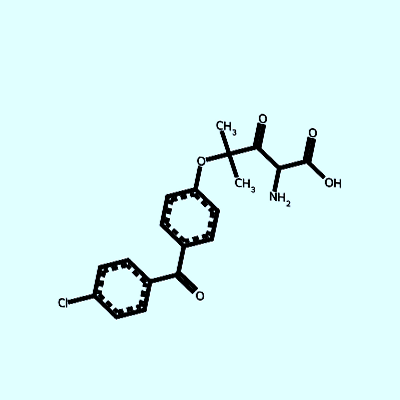 CC(C)(Oc1ccc(C(=O)c2ccc(Cl)cc2)cc1)C(=O)C(N)C(=O)O